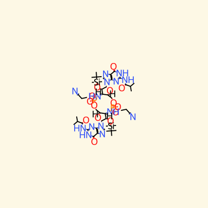 CC(C)C(=O)Nc1nc2c(ncn2[C@@H]2O[C@@H]3COP(=O)(OCCC#N)N[C@H]4C(O[Si](C)(C)C(C)(C)C)[C@H](n5cnc6c(=O)[nH]c(NC(=O)C(C)C)nc65)O[C@@H]4COP(=O)(OCCC#N)N[C@H]3C2O[Si](C)(C)C(C)(C)C)c(=O)[nH]1